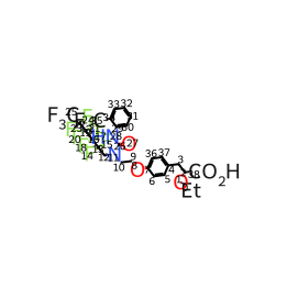 CCOC(Cc1ccc(OCCN(CC(F)(F)C(F)(F)C(F)(F)C(F)(F)C(F)(F)F)C(=O)Nc2ccccc2C(F)(F)F)cc1)C(=O)O